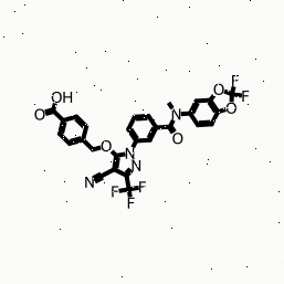 CN(C(=O)c1cccc(-n2nc(C(F)(F)F)c(C#N)c2OCc2ccc(C(=O)O)cc2)c1)c1ccc2c(c1)OC(F)(F)O2